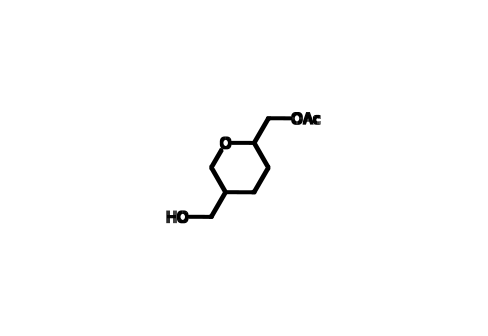 CC(=O)OCC1CCC(CO)CO1